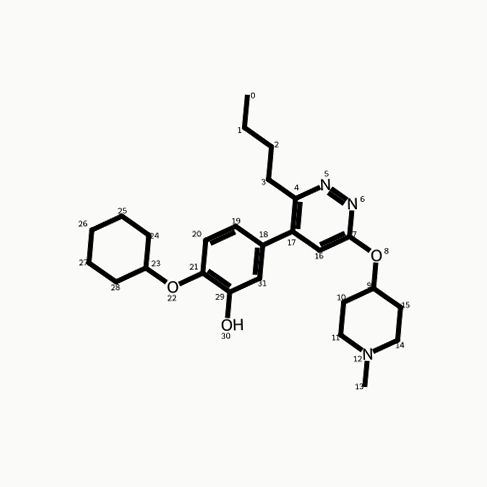 CCCCc1nnc(OC2CCN(C)CC2)cc1-c1ccc(OC2CCCCC2)c(O)c1